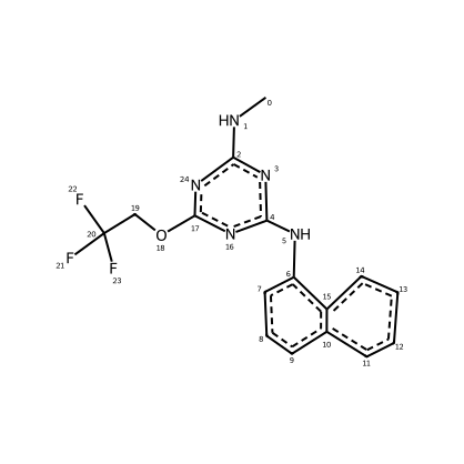 CNc1nc(Nc2cccc3ccccc23)nc(OCC(F)(F)F)n1